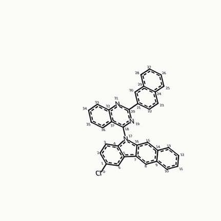 Clc1ccc2c(c1)c1cc3ccccc3cc1n2-c1nc(-c2ccc3ccccc3c2)nc2ccccc12